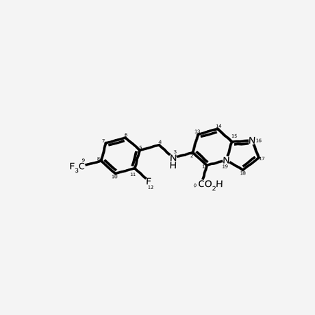 O=C(O)c1c(NCc2ccc(C(F)(F)F)cc2F)ccc2nccn12